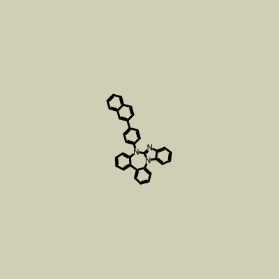 c1ccc2c(c1)-c1ccccc1-n1c(nc3ccccc31)N2c1ccc(-c2ccc3ccccc3c2)cc1